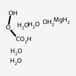 O.O.O.O.O.O=C(O)OO.[MgH2]